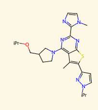 Cc1c(-c2ccn(C(C)C)n2)sc2nc(-c3nccn3C)nc(N3CCC(COC(C)C)C3)c12